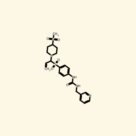 C=CC(N1CCC(S(C)(=O)=O)CC1)S(=O)(=O)c1ccc(NC(=O)NCc2cccnc2)cc1